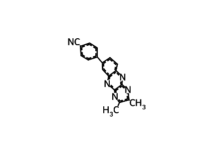 Cc1nc2nc3ccc(-c4ccc(C#N)cc4)cc3nc2nc1C